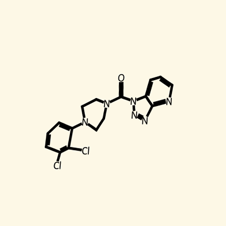 O=C(N1CCN(c2cccc(Cl)c2Cl)CC1)n1nnc2ncccc21